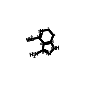 CC(C)(C)C1=NCCc2[nH]nc(N)c21